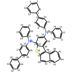 C1=CCC(c2ccc(N(c3ccccc3)c3cc(N(c4ccccc4)c4ccc(-c5ccccc5)cc4)c4sc5ccc6ccccc6c5c4c3)cc2)C=C1